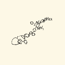 CCCCCC[C@@H](C)Oc1cc(N)c(-c2ccc(C(=O)Oc3ccc(OCCCC4CCCCCCCOC4C=Cc4ccccc4)cc3)cc2)cc1[N+](=O)[O-]